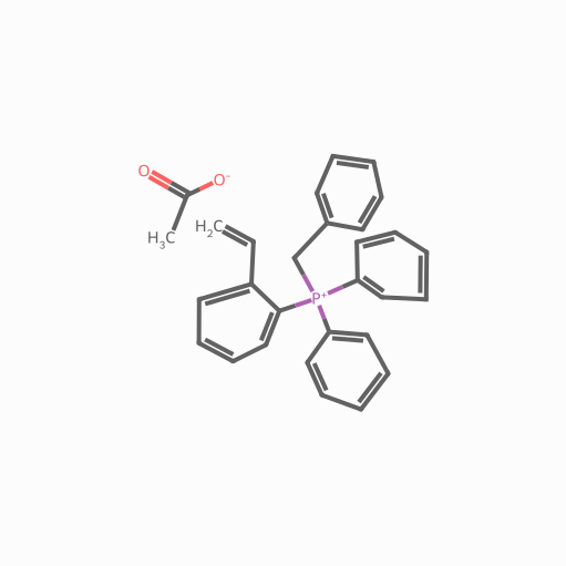 C=Cc1ccccc1[P+](Cc1ccccc1)(c1ccccc1)c1ccccc1.CC(=O)[O-]